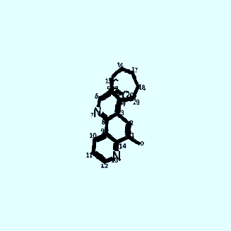 Cc1cc2c3c(cnc2c2cccnc12)C1CCCC3CCC1